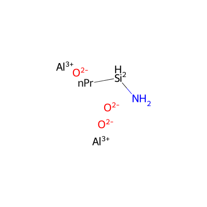 CCC[SiH2]N.[Al+3].[Al+3].[O-2].[O-2].[O-2]